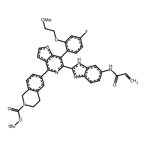 C=CC(=O)Nc1ccc2nc(-c3nc(-c4ccc5c(c4)CCN(C(=O)OC(C)(C)C)C5)c4ccsc4c3-c3ccc(F)cc3OCCOC)[nH]c2c1